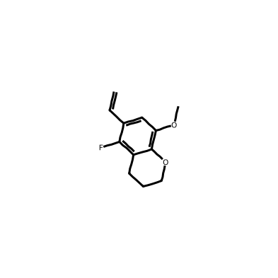 C=Cc1cc(OC)c2c(c1F)CCCO2